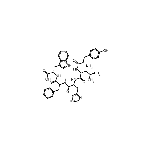 CC(C)C[C@H](NC(=O)[C@@H](N)Cc1ccc(O)cc1)C(=O)N[C@@H](Cc1c[nH]cn1)C(=O)N[C@@H](Cc1ccccc1)C(=O)N[C@@H](Cc1c[nH]c2ccccc12)C(=O)O